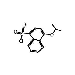 CC(C)Oc1ccc(S(=O)(=O)Cl)c2ccccc12